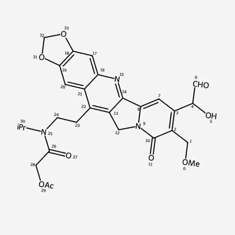 COCc1c(C(O)C=O)cc2n(c1=O)Cc1c-2nc2cc3c(cc2c1CCN(C(=O)COC(C)=O)C(C)C)OCO3